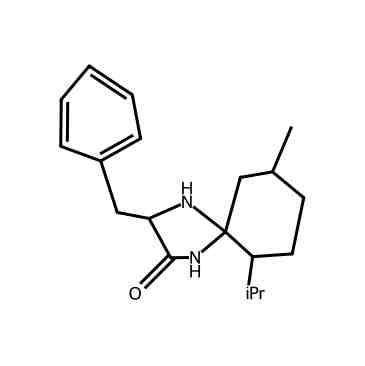 CC1CCC(C(C)C)C2(C1)NC(=O)C(Cc1ccccc1)N2